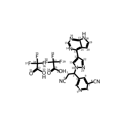 N#CCC(c1cncc(C#N)c1)n1cc(-c2ncnc3[nH]ccc23)cn1.O=C(O)C(F)(F)F.O=C(O)C(F)(F)F